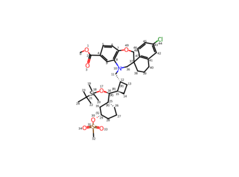 COC(=O)c1ccc2c(c1)N(C[C@@H]1CC[C@H]1[C@H](O[Si](C)(C)C(C)(C)C)[C@@H]1CCC[C@H](OS(C)(=O)=O)C1)CC1(CCCc3cc(Cl)ccc31)CO2